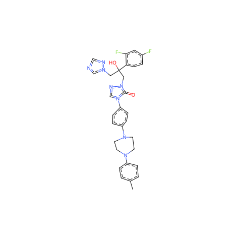 Cc1ccc(N2CCN(c3ccc(-n4cnn(CC(O)(Cn5cncn5)c5ccc(F)cc5F)c4=O)cc3)CC2)cc1